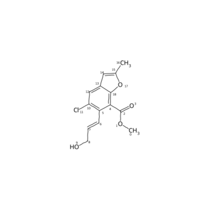 COC(=O)c1c(C=CCO)c(Cl)cc2cc(C)oc12